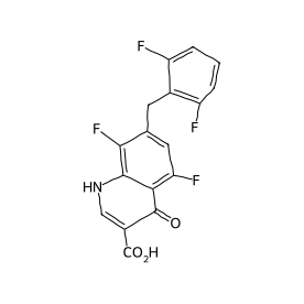 O=C(O)c1c[nH]c2c(F)c(Cc3c(F)cccc3F)cc(F)c2c1=O